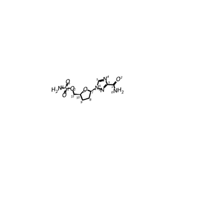 NC(=O)c1ncn([C@H]2CC[C@@H](COS(N)(=O)=O)O2)n1